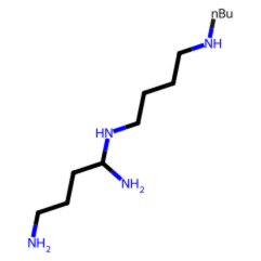 CCCCNCCCCNC(N)CCCN